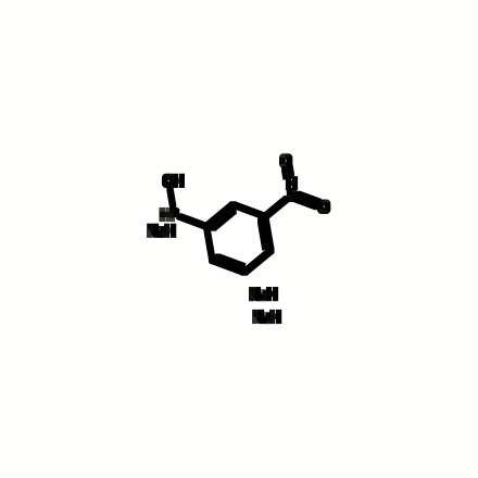 O=[SH](=O)c1cccc(PO)c1.[NaH].[NaH].[NaH]